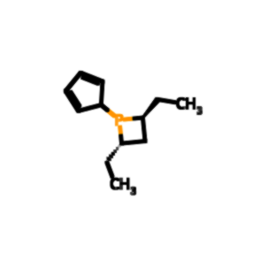 CC[C@H]1C[C@H](CC)P1C1C=CC=C1